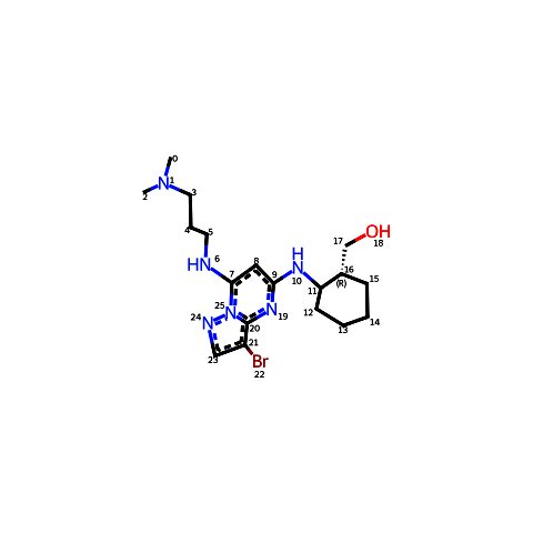 CN(C)CCCNc1cc(NC2CCCC[C@H]2CO)nc2c(Br)cnn12